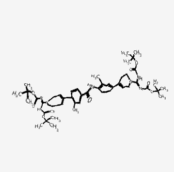 Cc1cc(C2=CCN(/C(=N/C(=O)OC(C)(C)C)NC(=O)OC(C)(C)C)CC2)ccc1NC(=O)c1ccc(C2=CCN(/C(=N/C(=O)OC(C)(C)C)NC(=O)OC(C)(C)C)CC2)c(C)c1